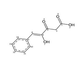 O=C(O)CC(=O)C(O)=Cc1ccccc1